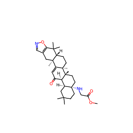 COC(=O)CN[C@]12CCC(C)(C)C[C@H]1[C@H]1C(=O)C=C3[C@@]4(C)Cc5cnoc5C(C)(C)[C@@H]4CC[C@@]3(C)[C@]1(C)CC2